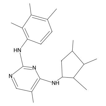 Cc1cnc(Nc2ccc(C)c(C)c2C)nc1NC1CC(C)C(C)C1C